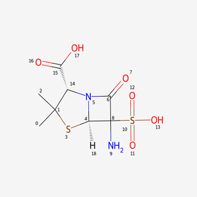 CC1(C)S[C@H]2N(C(=O)C2(N)S(=O)(=O)O)[C@H]1C(=O)O